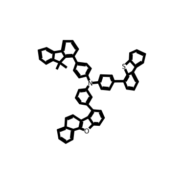 CC1(C)c2ccccc2-c2cccc(-c3ccc(N(c4ccc(-c5cccc6c5sc5ccccc56)cc4)c4cccc(-c5cccc6oc7c8ccccc8ccc7c56)c4)cc3)c21